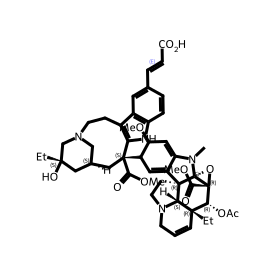 CC[C@]1(O)C[C@H]2CN(CCc3c([nH]c4ccc(/C=C/C(=O)O)cc34)[C@@](C(=O)OC)(C3C=C4C(=CC3OC)N(C)[C@@]35O[C@]3(C(=O)OC)[C@H](OC(C)=O)[C@]3(CC)C=CCN6CC[C@]45[C@@H]63)C2)C1